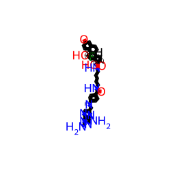 C[C@@H]1C[C@H]2C3CCC4=CC(=O)C=C[C@]4(C)[C@@]3(F)[C@@H](O)C[C@]2(C)[C@@]1(O)C(=O)NCCCCCNC(=O)c1ccc(N(C)Cc2cnc3nc(N)nc(N)c3n2)cc1